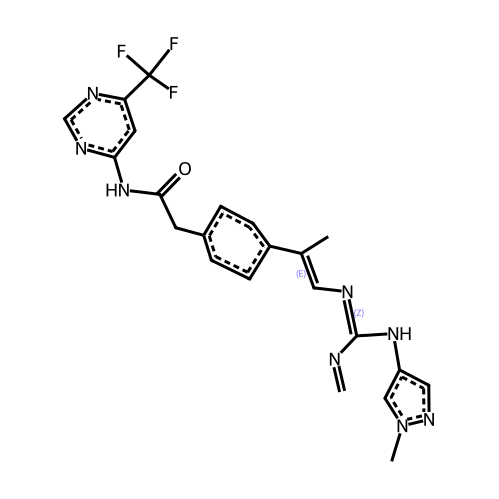 C=N/C(=N\C=C(/C)c1ccc(CC(=O)Nc2cc(C(F)(F)F)ncn2)cc1)Nc1cnn(C)c1